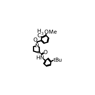 COc1cccc(C(=O)N2CCC[C@H](C(=O)Nc3cccc(C(C)(C)C)c3)C2)c1C